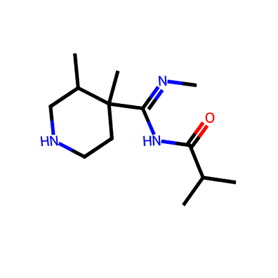 C/N=C(\NC(=O)C(C)C)C1(C)CCNCC1C